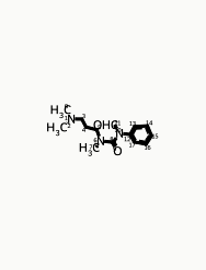 CN(C)CCCN(C)C(=O)N(C=O)c1ccccc1